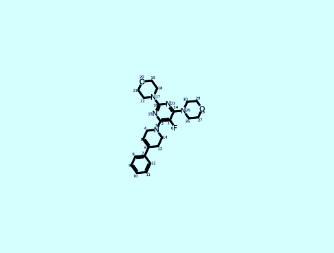 Fc1c(N2CC=C(c3ccccc3)CC2)nc(N2CCOCC2)nc1N1CCOCC1